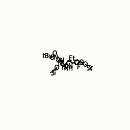 CCc1cc(OCOCC[Si](C)(C)C)c(F)cc1-c1ccc2c(-c3nc4c(n3COCC[Si](C)(C)C)CN(C(=O)OC(C)(C)C)C4)n[nH]c2n1